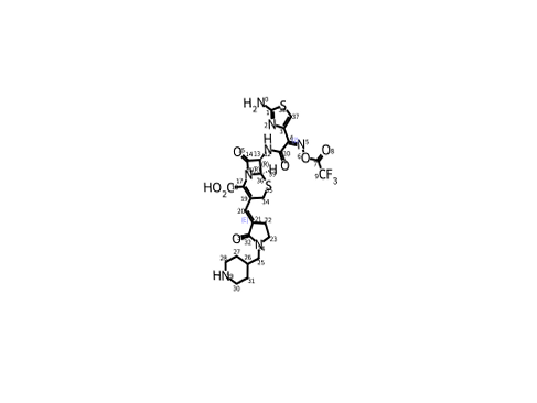 Nc1nc(/C(=N/OC(=O)C(F)(F)F)C(=O)N[C@@H]2C(=O)N3C(C(=O)O)=C(/C=C4\CCN(CC5CCNCC5)C4=O)CS[C@H]23)cs1